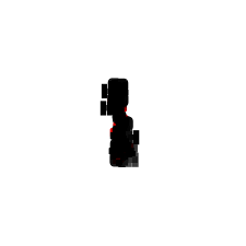 COC(=O)N[C@H](C(=O)N1CCCC1c1ncc(-c2ccc3c(c2)COc2cc4c(ccc5nc([C@@H]6C[C@@H]7CCC[C@@H]7N6C(=O)[C@@H](NC(O)OC)C(C)C)[nH]c54)cc2-3)[nH]1)C(C)C